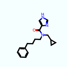 O=C(c1c[nH]cn1)N(CCCCc1ccccc1)CC1CC1